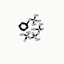 O=P(O)(O)OP(=O)(O)OP(=O)(O)O.O[Si](O)(O)Oc1ccccc1